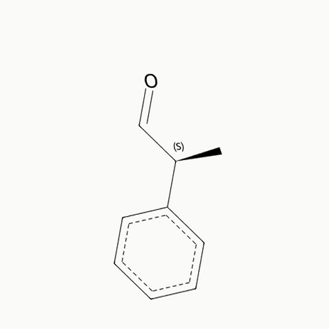 C[C@H](C=O)c1ccccc1